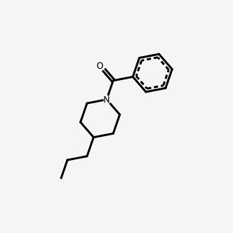 CCCC1CCN(C(=O)c2ccccc2)CC1